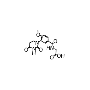 COc1ccc(C(=O)NCC(=O)O)cc1N1CCC(=O)NC1=O